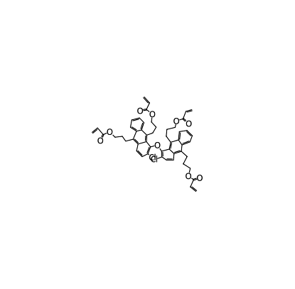 C=CC(=O)OCCCc1c2ccccc2c(CCCOC(=O)C=C)c2c(Oc3c(Cl)ccc4c(CCCOC(=O)C=C)c5ccccc5c(CCCOC(=O)C=C)c34)c(Cl)ccc12